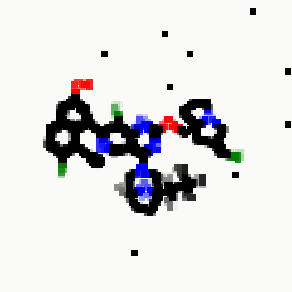 [2H]C([2H])([2H])C([2H])([2H])[C@@]12CC[C@@H](CN(c3nc(OC[C@@]45CCCN4C/C(=C\F)C5)nc4c(F)c(-c5cc(O)cc6ccc(F)c(C#C)c56)ncc34)C1)N2